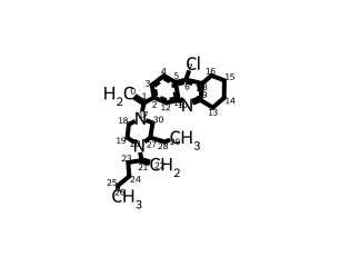 C=C(c1ccc2c(Cl)c3c(nc2c1)CCCC3)N1CCN(C(=C)CCCC)C(CC)C1